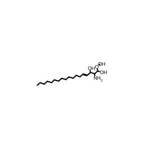 CCCCCCCCCCCCCC=CC(O)C(N)C(O)OO